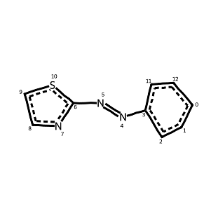 c1ccc(N=Nc2nccs2)cc1